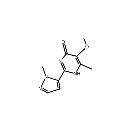 COc1c(C)[nH]c(-c2ccnn2C)nc1=O